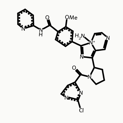 COc1cc(C2=NC(C3CCCN3C(=O)c3ccnc(Cl)n3)=C3C=NC=C[N+]23N)ccc1C(=O)Nc1ccccn1